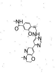 CNC(=O)c1ccc([C@H](C)CNc2cc(-c3cnc4c(c3)OCCN4C)ncn2)c(OC)c1